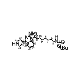 CC(C)(C)OC(=O)NCCCCCCCC(=O)N1C(N)=NC(C2CCNCC2)c2ccccc21